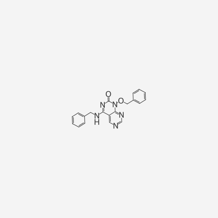 O=c1nc(NCc2ccccc2)c2cncnc2n1OCc1ccccc1